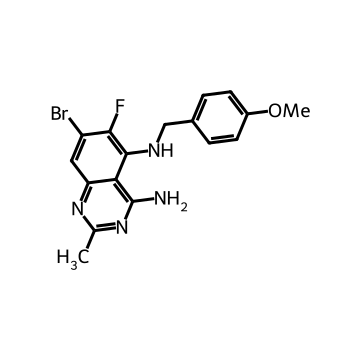 COc1ccc(CNc2c(F)c(Br)cc3nc(C)nc(N)c23)cc1